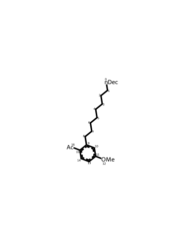 CCCCCCCCCCCCCCCCCCc1cc(OC)ccc1C(C)=O